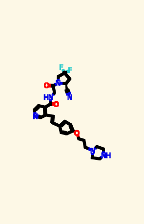 N#C[C@@H]1CC(F)(F)CN1C(=O)CNC(=O)c1ccncc1/C=C/c1ccc(OCCCN2CCNCC2)cc1